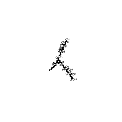 O=C(O)CCC(NC(=O)CC(NC(=O)CCNC(=O)c1cc(C(=O)NCCC(=O)NC(CC(=O)NC(CCC(=O)O)C(=O)O)C(=O)O)cc(-n2cc(CCCF)nn2)c1)C(=O)O)C(=O)O